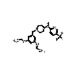 CCOc1cc(CN2CCC(Nc3ccc(C(F)(F)F)cn3)CC2)cc(OCC)c1